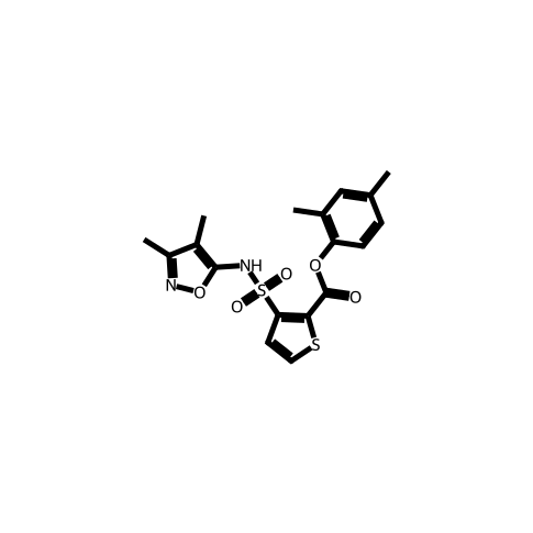 Cc1ccc(OC(=O)c2sccc2S(=O)(=O)Nc2onc(C)c2C)c(C)c1